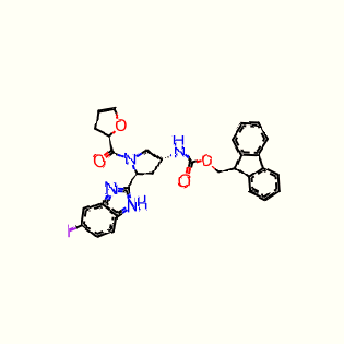 O=C(N[C@@H]1C[C@@H](c2nc3cc(I)ccc3[nH]2)N(C(=O)[C@H]2CCCO2)C1)OCC1c2ccccc2-c2ccccc21